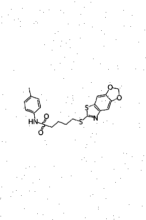 Cc1ccc(NS(=O)(=O)CCCCSc2nc3cc4c(cc3s2)OCO4)cc1